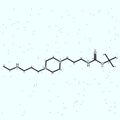 CCNCCCN1CCN(CCCNC(=O)OC(C)(C)C)CC1